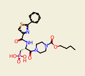 CCCCOC(=O)N1CCN(C(=O)[C@H](CP(=O)(O)O)NC(=O)c2csc(-c3ccccc3)n2)CC1